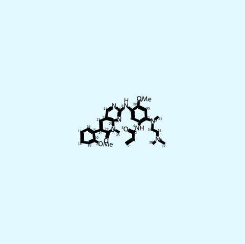 C=CC(=O)Nc1cc(Nc2ncc3cc(-c4ccccc4OC)c(=O)n(C)c3n2)c(OC)cc1N(C)CCN(C)C